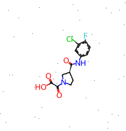 O=C(O)C(=O)N1CC[C@H](C(=O)Nc2ccc(F)c(Cl)c2)C1